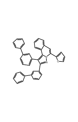 c1ccc(-c2cccc(-c3nn4c(-c5ccco5)cc5ccccc5c4c3-c3cccc(-c4ccccc4)c3)c2)cc1